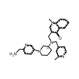 Cc1cc(CN(Cc2cn(C)c3ccccc3c2=O)[C@H]2CCCN(c3ccc(CN)nc3)C2)ccn1